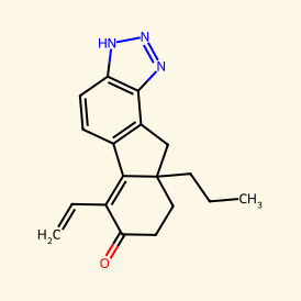 C=CC1=C2c3ccc4[nH]nnc4c3CC2(CCC)CCC1=O